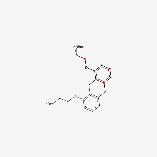 CCCCCCCCCCCCOc1cccc2c1C1c3c(OCCCCCCCCCCCC)cccc3C2c2cccc(OCCCCCCCCCCCC)c21